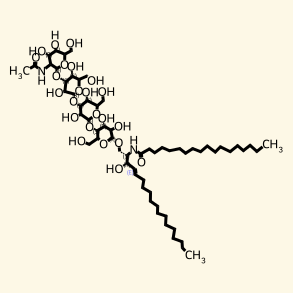 CCCCCCCCCCCCC/C=C/[C@@H](O)[C@H](CO[C@@H]1OC(CO)[C@@H](O[C@@H]2OC(CO)[C@H](O)[C@H](O[C@H]3OC(CO)[C@H](O)[C@H](O[C@@H]4OC(CO)[C@@H](O)[C@H](O)C4NC(C)=O)C3O)C2O)[C@H](O)C1O)NC(=O)CCCCCCCCCCCCCCCCC